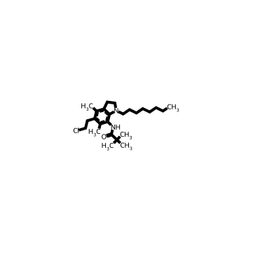 CCCCCCCCN1CCc2c(C)c(CCCl)c(C)c(NC(=O)C(C)(C)C)c21